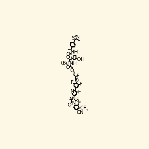 Cc1ncsc1-c1ccc([C@H](C)NC(=O)[C@@H]2C[C@@H](O)CN2C(=O)[C@@H](NC(=O)COCCC(F)COc2c(F)cc(-c3ncc(N4C(=S)N(c5ccc(C#N)c(C(F)(F)F)c5F)C(=O)C4(C)C)cc3F)cc2F)C(C)(C)C)cc1